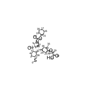 CSc1ccc(C(=O)C2CN(C(=O)Oc3ccccc3)C[C@@H]2Cc2ccc(OC(C)(C)C(=O)O)c(C)c2)cc1